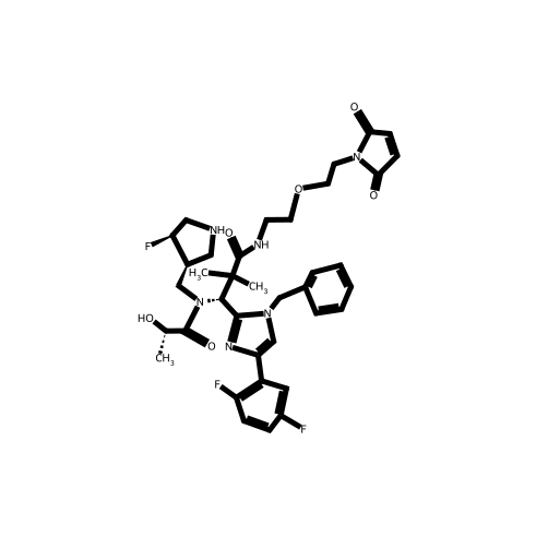 C[C@H](O)C(=O)N(C[C@@H]1CNC[C@@H]1F)[C@@H](c1nc(-c2cc(F)ccc2F)cn1Cc1ccccc1)C(C)(C)C(=O)NCCOCCN1C(=O)C=CC1=O